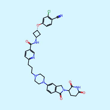 N#Cc1ccc(O[C@H]2C[C@H](NC(=O)c3ccc(CCCN4CCN(c5ccc6c(c5)CN(C5CCC(=O)NC5=O)C6=O)CC4)nc3)C2)cc1Cl